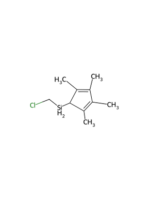 CC1=C(C)C([SiH2]CCl)C(C)=C1C